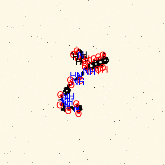 COc1cccc2c1C(=O)c1c(O)c3c(c(O)c1C2=O)C[C@@](O)(C(=O)NCCNC(=O)CNC(=O)OCc1ccc(NC(=O)[C@H](C)NC(=O)[C@@H](NC(=O)CCN2C(=O)C=CC2=O)C(C)C)cc1)C[C@@H]3O[C@H]1C[C@H]2[C@H](O[C@@H]3[C@@H](OC)OCCN32)[C@H](C)O1